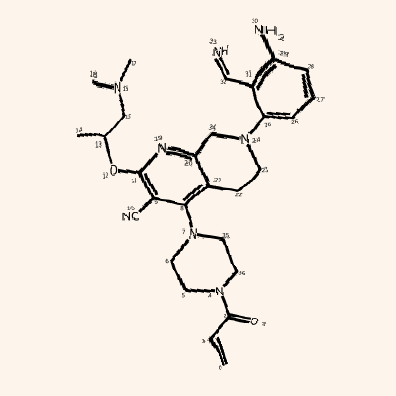 C=CC(=O)N1CCN(c2c(C#N)c(OC(C)CN(C)C)nc3c2CCN(c2cccc(N)c2C=N)C3)CC1